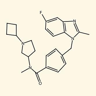 Cc1nc2cc(F)ccc2n1Cc1ccc(C(=O)N(C)C2CCN(C3CCC3)C2)cc1